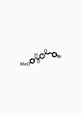 COc1ccc(NC(=O)C2CCN(C(=O)C=Cc3ccc(Br)cc3)CC2)cc1